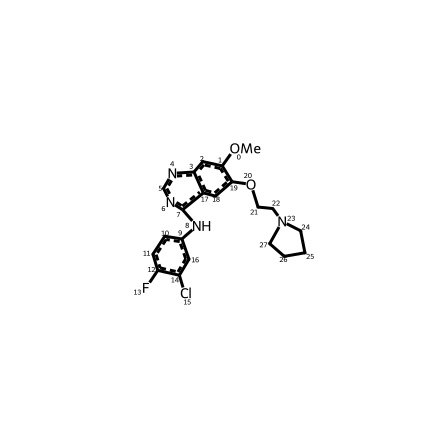 COc1cc2ncnc(Nc3ccc(F)c(Cl)c3)c2cc1OCCN1CCCC1